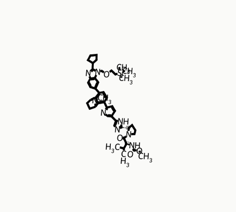 COC(=O)N[C@H](C(=O)N1CCC[C@H]1c1ncc(-c2ccc(-c3ccc(-c4ccc5nc(C6CCCC6)n(COCC[Si](C)(C)C)c5c4)c4c3C3CCC4N3C)nc2)[nH]1)C(C)C